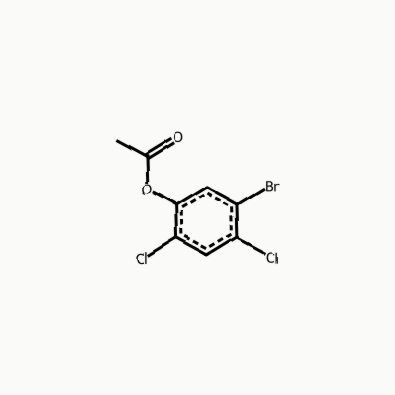 CC(=O)Oc1cc(Br)c(Cl)cc1Cl